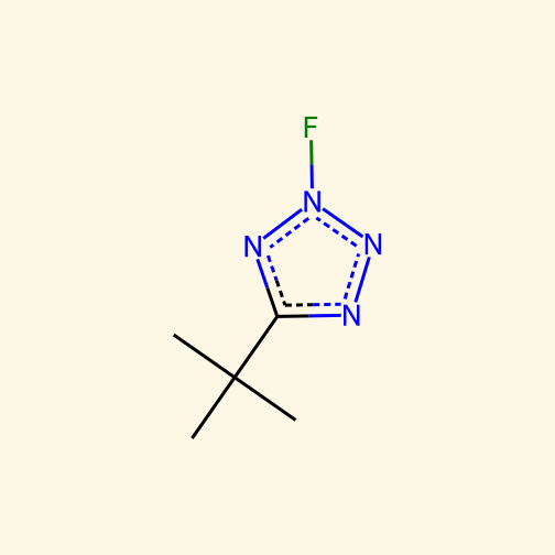 CC(C)(C)c1nnn(F)n1